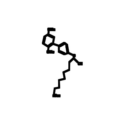 CCCCCCCCCCCCCCCCCC(C#N)Oc1ccc(-c2cc(OC)ccc2OC)cc1